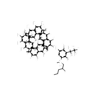 CCCC(C)C[NH+](C)c1cc(F)c(F)c(C(F)(F)C(F)(F)F)c1F.Fc1c(F)c(F)c2[c]([Al-]([c]3c(F)c(F)c(F)c4c(F)c(F)c(F)c(F)c34)([c]3c(F)c(F)c(F)c4c(F)c(F)c(F)c(F)c34)[c]3c(F)c(F)c(F)c4c(F)c(F)c(F)c(F)c34)c(F)c(F)c(F)c2c1F